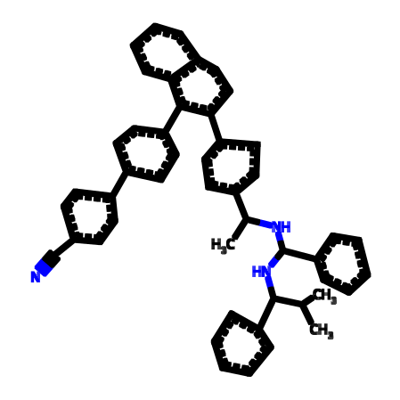 CC(NC(NC(c1ccccc1)C(C)C)c1ccccc1)c1ccc(-c2ccc3ccccc3c2-c2ccc(-c3ccc(C#N)cc3)cc2)cc1